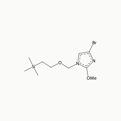 COc1nc(Br)cn1COCC[Si](C)(C)C